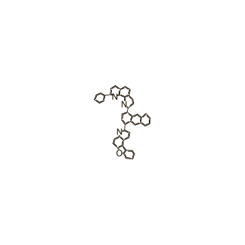 c1ccc(-c2ccc3ccc4ccc(-c5ccc(-c6ccc7c(ccc8oc9ccccc9c87)n6)c6cc7ccccc7cc56)nc4c3n2)cc1